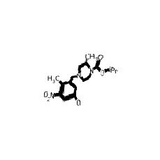 Cc1c(CN2CCN(C(=O)OC(C)C)[C@@H](C)C2)cc(Cl)cc1[N+](=O)[O-]